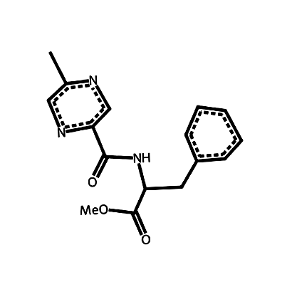 COC(=O)C(Cc1ccccc1)NC(=O)c1cnc(C)cn1